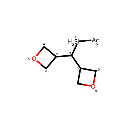 CC(=O)[SiH2]C(C1COC1)C1COC1